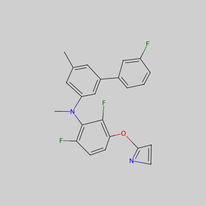 Cc1cc(-c2cccc(F)c2)cc(N(C)c2c(F)ccc(OC3=NC=C3)c2F)c1